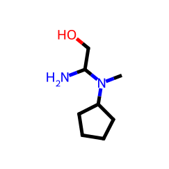 CN(C(N)CO)C1CCCC1